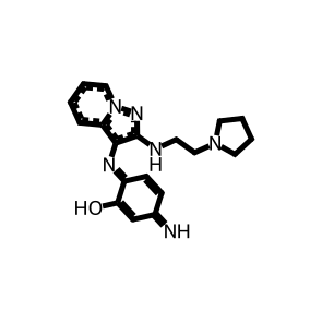 N=C1C=C/C(=N\c2c(NCCN3CCCC3)nn3ccccc23)C(O)=C1